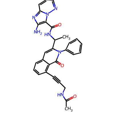 CC(=O)NCC#Cc1cccc2cc(C(C)NC(=O)c3c(N)nc4cccnn34)n(-c3ccccc3)c(=O)c12